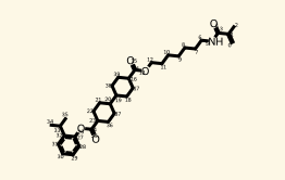 C=C(C)C(=O)NCCCCCCCOC(=O)C1CCC(C2CCC(C(=O)Oc3ccccc3C(C)C)CC2)CC1